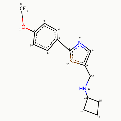 FC(F)(F)Oc1ccc(-c2ncc(CNC3CCC3)s2)cc1